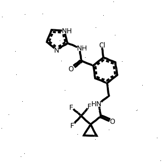 O=C(Nc1ncc[nH]1)c1cc(CNC(=O)C2(C(F)(F)F)CC2)ccc1Cl